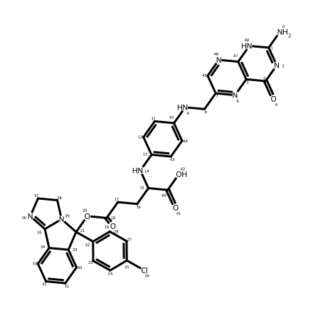 Nc1nc(=O)c2nc(CNc3ccc(NC(CCC(=O)OC4(c5ccc(Cl)cc5)c5ccccc5C5=NCCN54)C(=O)O)cc3)cnc2[nH]1